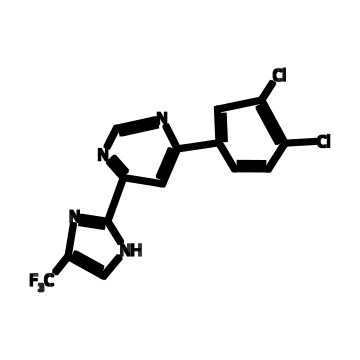 FC(F)(F)c1c[nH]c(-c2cc(-c3ccc(Cl)c(Cl)c3)ncn2)n1